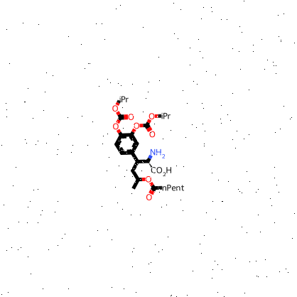 CCCCCC(=O)OC(C)CC(c1ccc(OC(=O)OC(C)C)c(OC(=O)OC(C)C)c1)[C@H](N)C(=O)O